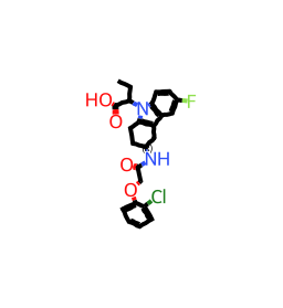 CCC(C(=O)O)n1c2c(c3cc(F)ccc31)C[C@H](NC(=O)COc1ccccc1Cl)CC2